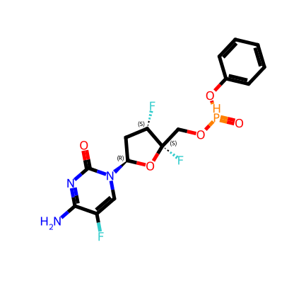 Nc1nc(=O)n([C@H]2C[C@H](F)[C@@](F)(CO[PH](=O)Oc3ccccc3)O2)cc1F